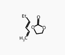 C=CC=CCC.O=C1OCCO1